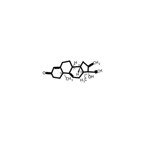 C#C[C@]1(O)C(=C)C[C@H]2[C@@H]3CCC4=CC(=O)CC[C@]4(C)C3=CC[C@@]21C